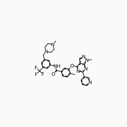 Cc1ccc(C(=O)Nc2cc(CN3CCN(C)CC3)cc(C(F)(F)F)c2)cc1Oc1nc(-c2cccnc2)nc2c1cnn2C